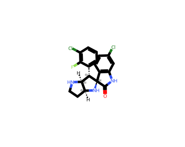 O=C1Nc2cc(Cl)ccc2[C@]12N[C@H]1CCN[C@H]1[C@@H]2c1cccc(Cl)c1F